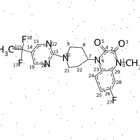 Cn1c(=O)c(=O)n(C2CCN(c3ncc(C(C)(F)F)cn3)CC2)c2ccc(F)cc21